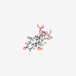 CC(=O)OCC(=O)[C@@]12OC(C)(C)O[C@@H]1C[C@H]1[C@@H]3C[C@H](F)C4=CC(=O)C=C[C@]4(C)[C@@H]3[C@@H](O)C[C@@]12C